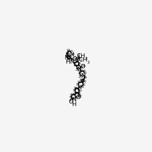 CC(C)Oc1cc2c(cc1NC(=O)c1cnn3cccnc13)CN(C1CCN(CC3CC4(CCN(c5ccc(C6CCC(=O)NC6=O)c(F)c5)CC4)C3)CC1)C2=O